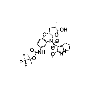 COc1nn2c(c1S(=O)(=O)N1C[C@H](C[C@H](C)C(=O)O)Oc3ccc(NC(=O)OC(C)(C)C(F)(F)F)cc31)CCC2